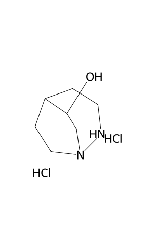 Cl.Cl.OC1CN2CCC1CCN2